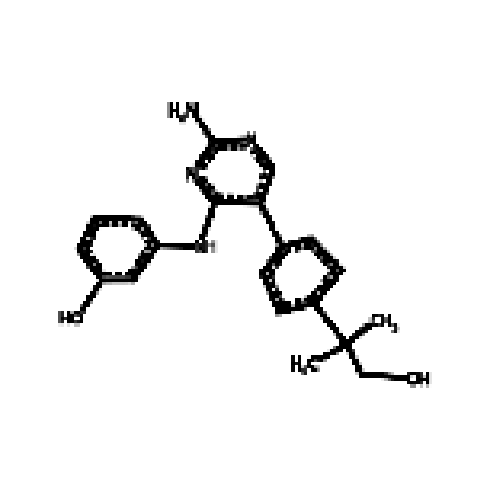 CC(C)(CO)c1ccc(-c2cnc(N)nc2Nc2cccc(O)c2)cc1